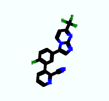 N#Cc1ncccc1-c1cc(-c2cnc3nc(C(F)(F)F)ccn23)ccc1F